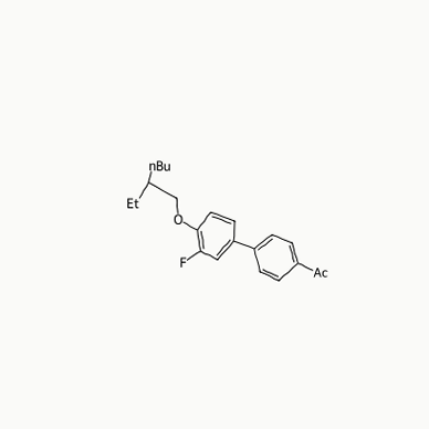 CCCCC(CC)COc1ccc(-c2ccc(C(C)=O)cc2)cc1F